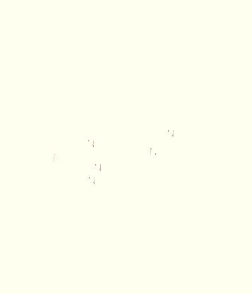 C[C@@H]1CCC[C@H](C)N1c1ccc(-c2cnc3c(Br)cnn3c2)cn1